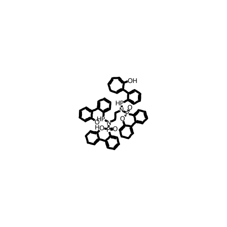 O=P1(N(CCN(Pc2ccccc2-c2ccccc2O)P2(=O)OC3=CCCC=C3c3ccccc32)Pc2ccccc2C2=CCC=CC=C2O)OC2=CCCC=C2c2ccccc21